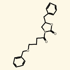 O=C(CCCOCc1ccccc1)N1CC(Cc2ccccc2)OC1=O